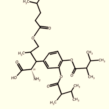 CC(C)CCC(=O)OCC(C)C(c1ccc(OC(=O)C(C)C(C)C)c(OC(=O)C(C)C(C)C)c1)[C@H](N)C(=O)O